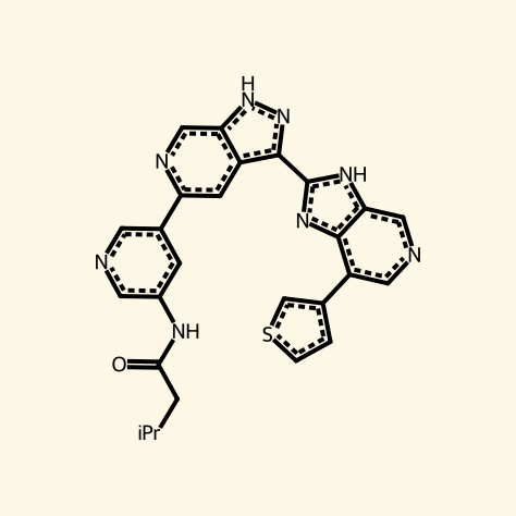 CC(C)CC(=O)Nc1cncc(-c2cc3c(-c4nc5c(-c6ccsc6)cncc5[nH]4)n[nH]c3cn2)c1